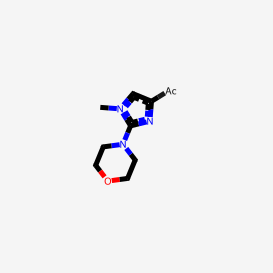 CC(=O)c1cn(C)c(N2CCOCC2)n1